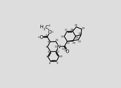 COC(=O)C1Cc2ccccc2N(C(=O)C23CC=C4CCC(C2)C4C3)C1